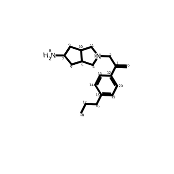 C=C(CN1CC2CC(N)CC2C1)c1ccc(CCC)cc1